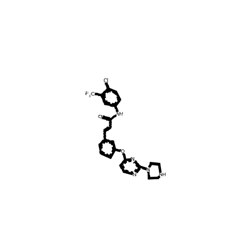 O=C(C=Cc1cccc(Oc2ccnc(N3CCNCC3)n2)c1)Nc1ccc(Cl)c(C(F)(F)F)c1